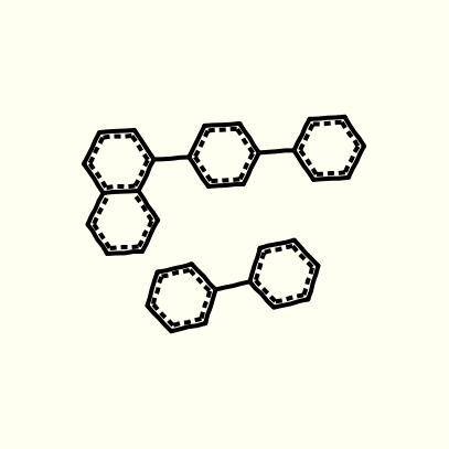 c1ccc(-c2ccc(-c3cccc4ccccc34)cc2)cc1.c1ccc(-c2ccccc2)cc1